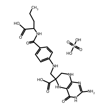 CCCC(NC(=O)c1ccc(NCC2(C(=O)O)CNc3nc(N)[nH]c(=O)c3N2)cc1)C(=O)O.O=S(=O)(O)O